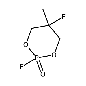 CC1(F)COP(=O)(F)OC1